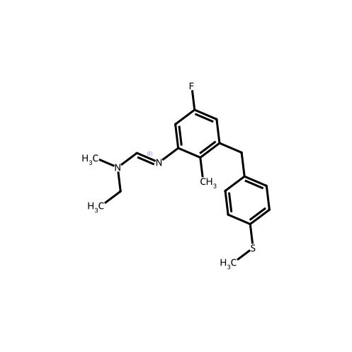 CCN(C)/C=N/c1cc(F)cc(Cc2ccc(SC)cc2)c1C